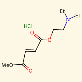 CCN(CC)CCOC(=O)C=CC(=O)OC.Cl